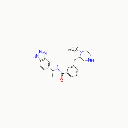 CC(NC(=O)c1cccc(CC2CNCCN2C(=O)O)c1)c1ccc2[nH]nnc2c1